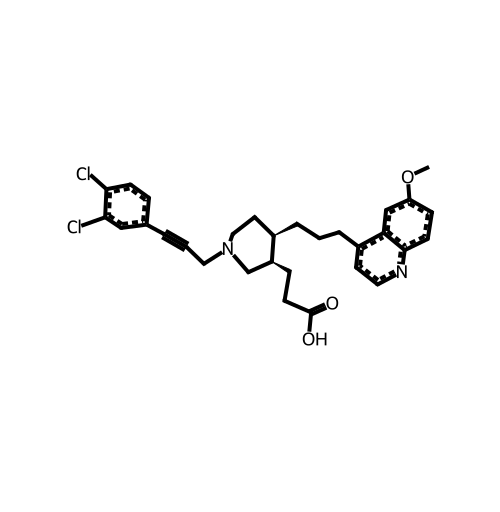 COc1ccc2nccc(CCC[C@@H]3CCN(CC#Cc4ccc(Cl)c(Cl)c4)C[C@@H]3CCC(=O)O)c2c1